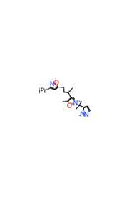 Cc1o[n+](C(C)(C)c2ccnn2C)cc1C(C)CCc1cc(C(C)C)no1